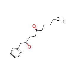 CCCCCC(=O)CCC(=O)Cc1ccccc1